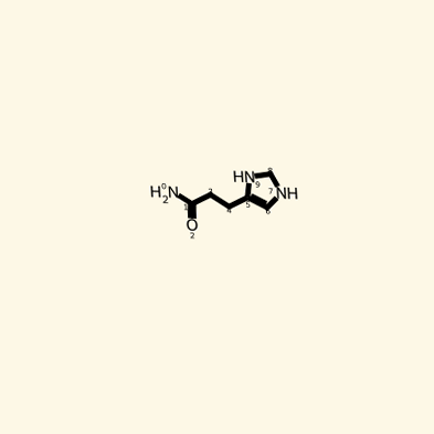 NC(=O)CCC1=CNCN1